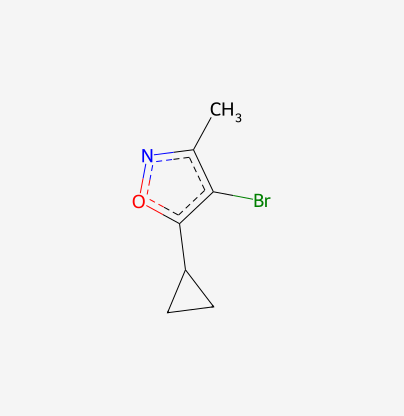 Cc1noc(C2CC2)c1Br